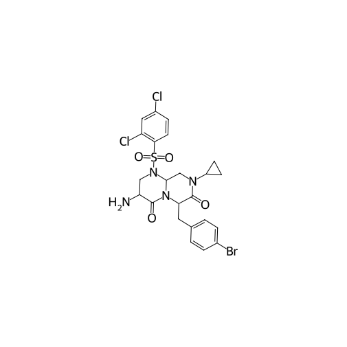 NC1CN(S(=O)(=O)c2ccc(Cl)cc2Cl)C2CN(C3CC3)C(=O)C(Cc3ccc(Br)cc3)N2C1=O